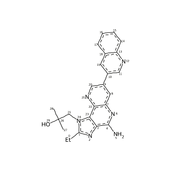 CCc1nc2c(N)nc3cc(-c4cnc5ccccc5c4)cnc3c2n1CC(C)(C)O